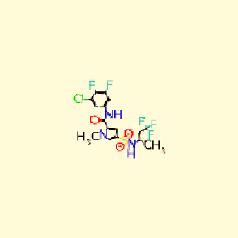 CC(CC(F)(F)F)NS(=O)(=O)c1cc(C(=O)Nc2cc(F)c(F)c(Cl)c2)n(C)c1